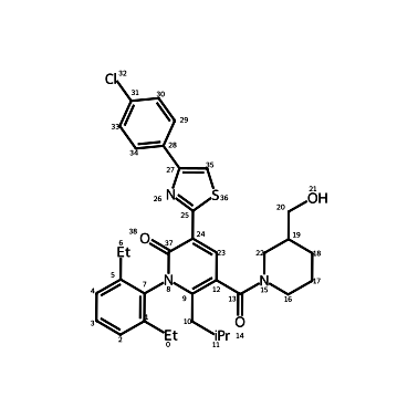 CCc1cccc(CC)c1-n1c(CC(C)C)c(C(=O)N2CCCC(CO)C2)cc(-c2nc(-c3ccc(Cl)cc3)cs2)c1=O